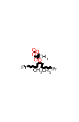 CC(C)CCCC(C)CCC(CCC(C)CCCC(C)C)OC(=O)C1(C)COC(=O)OC1